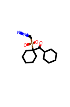 [N-]=[N+]=CS(=O)(=O)C1(C(=O)C2CCCCC2)CCCCC1